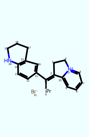 CC(C)C(=C1CC[n+]2ccccc21)c1ccc2c(c1)CCCN2.[Br-]